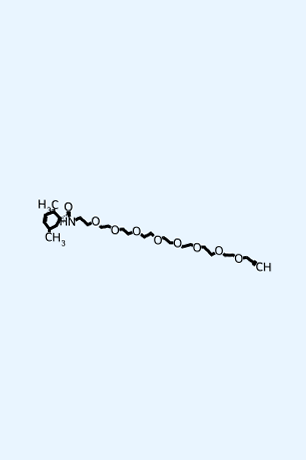 C#CCOCCOCCOCCOCCOCCOCCOCCOCCNC(=O)[C@@H]1CC(C)C=C[C@@H]1C